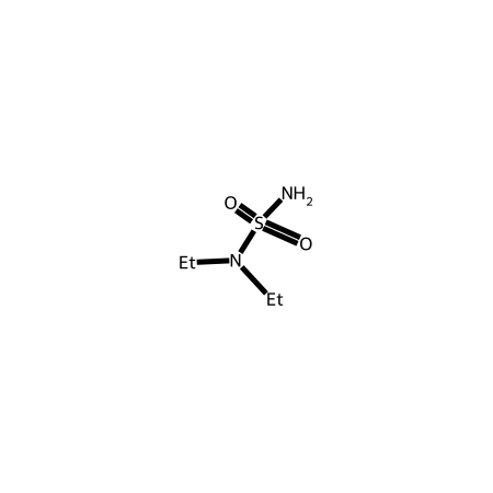 CCN(CC)S(N)(=O)=O